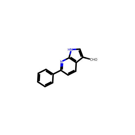 O=Cc1c[nH]c2nc(-c3ccccc3)ccc12